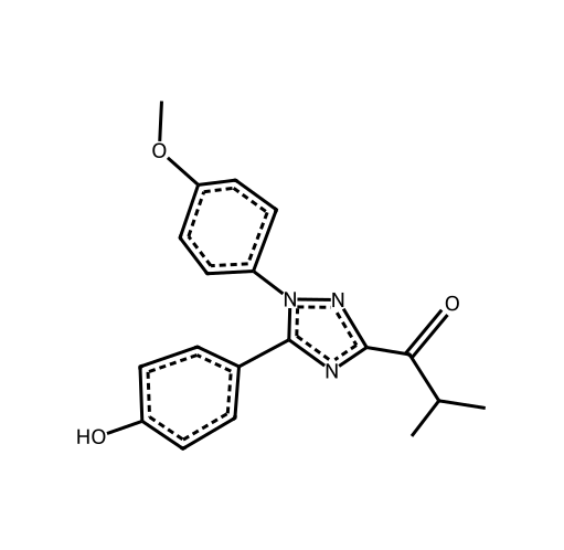 COc1ccc(-n2nc(C(=O)C(C)C)nc2-c2ccc(O)cc2)cc1